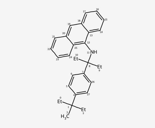 CCC(C)(CC)c1ccc(C(CC)(CC)Nc2c3ccccc3cc3ccccc23)cc1